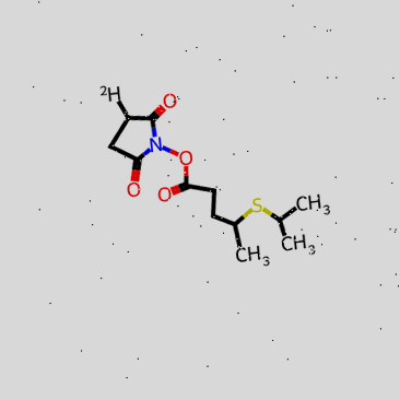 [2H]C1CC(=O)N(OC(=O)CCC(C)SC(C)C)C1=O